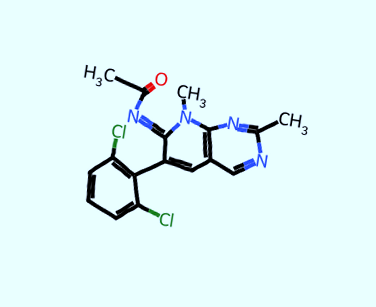 CC(=O)N=c1c(-c2c(Cl)cccc2Cl)cc2cnc(C)nc2n1C